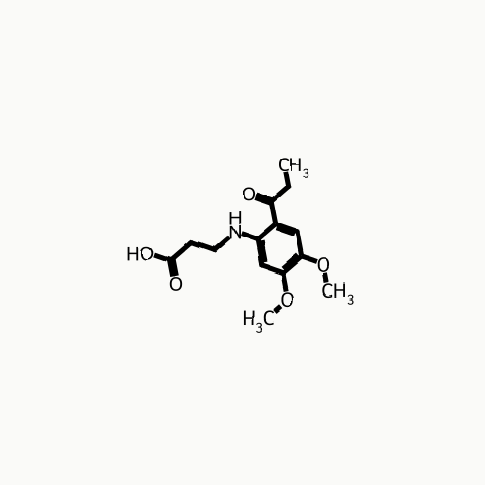 CCC(=O)c1cc(OC)c(OC)cc1NCCC(=O)O